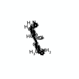 CN(Cc1cccc(N)c1)C(=O)N1CCN(C(=O)CC#CC#CC(O)C(=O)N2CCN(C(=O)N(C)Cc3cccc(N)c3)CC2)CC1.Cl.Cl